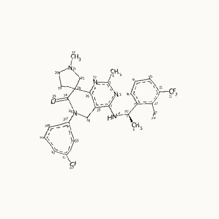 Cc1nc(N[C@H](C)c2cccc(C(F)(F)F)c2F)c2c(n1)C1(CCN(C)C1)C(=O)N(c1cccc(Cl)c1)C2